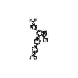 C=CC(=O)N1CCN(C2CCN(c3cc(-c4cnn(C(F)F)c4)cn4ncc(C#N)c34)CC2)CC1